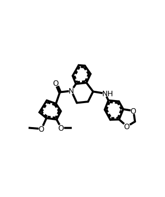 COc1ccc(C(=O)N2CCC(Nc3ccc4c(c3)OCO4)c3ccccc32)cc1OC